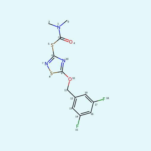 CN(C)C(=O)Sc1nsc(OCc2cc(F)cc(F)c2)n1